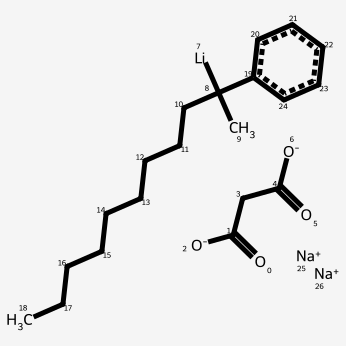 O=C([O-])CC(=O)[O-].[Li][C](C)(CCCCCCCCC)c1ccccc1.[Na+].[Na+]